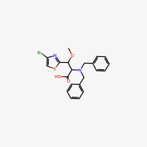 COC(c1nc(Br)cs1)C(C(=O)O)N(Cc1ccccc1)Cc1ccccc1